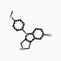 COc1ccc(-n2c3c(c4cc(Cl)ccc42)CNC3)cc1